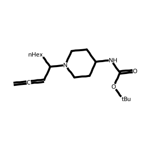 C=C=CC(CCCCCC)N1CCC(NC(=O)OC(C)(C)C)CC1